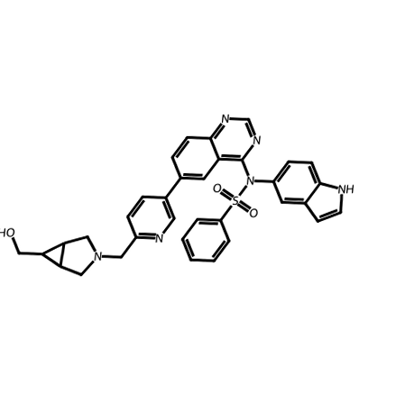 O=S(=O)(c1ccccc1)N(c1ccc2[nH]ccc2c1)c1ncnc2ccc(-c3ccc(CN4CC5C(CO)C5C4)nc3)cc12